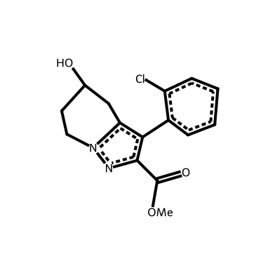 COC(=O)c1nn2c(c1-c1ccccc1Cl)CC(O)CC2